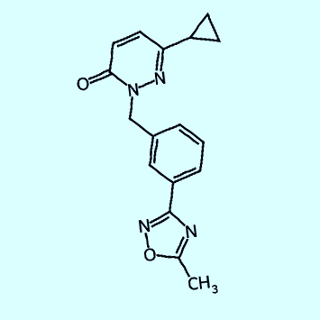 Cc1nc(-c2cccc(Cn3nc(C4CC4)ccc3=O)c2)no1